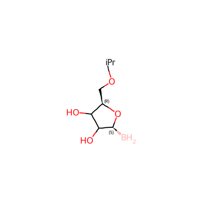 B[C@@H]1O[C@H](COC(C)C)C(O)C1O